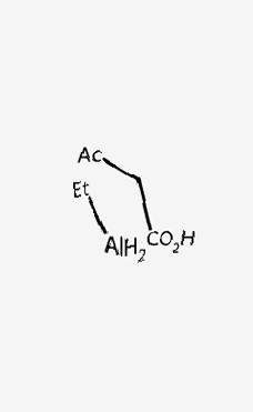 CC(=O)CC(=O)O.C[CH2][AlH2]